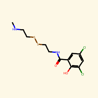 CNCCSSCCNC(=O)c1cc(Cl)cc(Cl)c1O